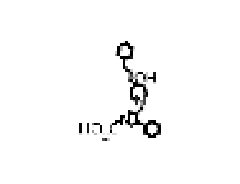 O=C(O)CN1CC(CN2CCC(O)(CCCc3ccccc3)CC2)C(c2ccccc2)C1